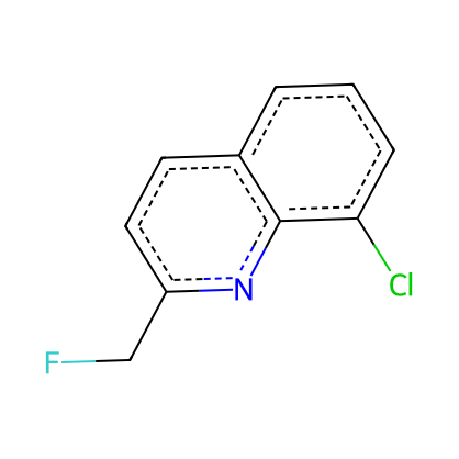 FCc1ccc2cccc(Cl)c2n1